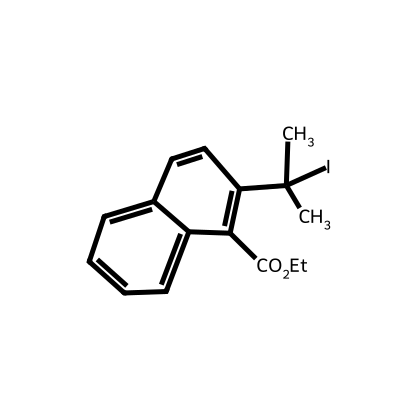 CCOC(=O)c1c(C(C)(C)I)ccc2ccccc12